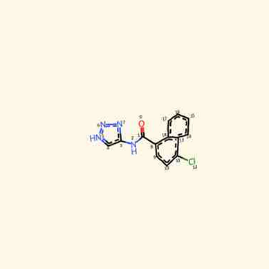 O=C(Nc1c[nH]nn1)c1ccc(Cl)c2ccccc12